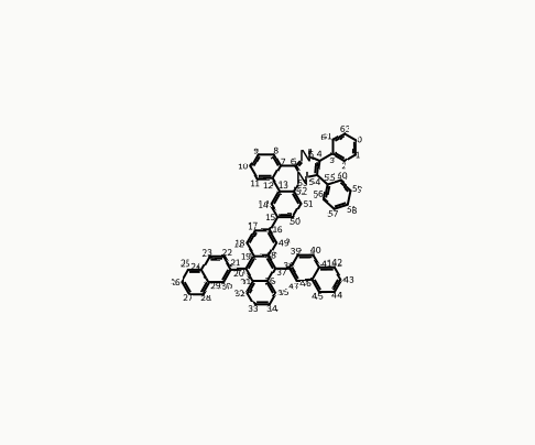 c1ccc(-c2nc3c4ccccc4c4cc(-c5ccc6c(-c7ccc8ccccc8c7)c7ccccc7c(-c7ccc8ccccc8c7)c6c5)ccc4n3c2-c2ccccc2)cc1